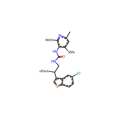 CCCCCC(CNC(=O)Nc1c(SC)cc(C)nc1SC)c1csc2ccc(Cl)cc12